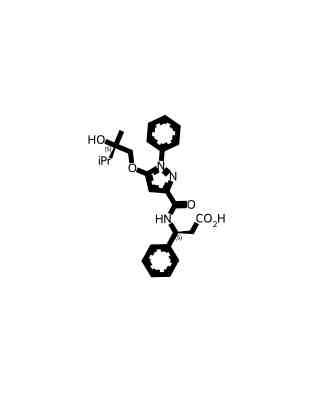 CC(C)[C@](C)(O)COc1cc(C(=O)N[C@@H](CC(=O)O)c2ccccc2)nn1-c1ccccc1